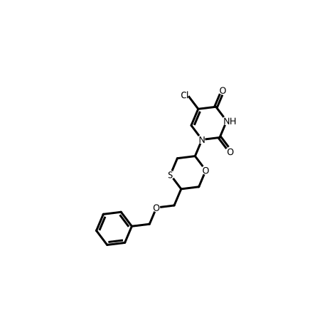 O=c1[nH]c(=O)n(C2CSC(COCc3ccccc3)CO2)cc1Cl